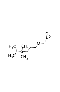 CC(C)S(C)(C)CCCOC[C@H]1CO1